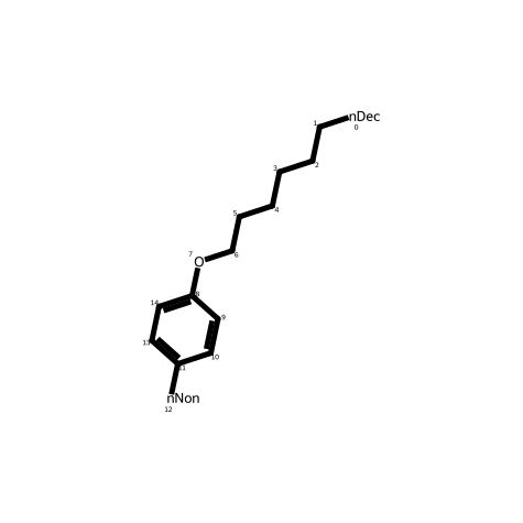 CCCCCCCCCCCCCCCCOc1ccc(CCCCCCCCC)cc1